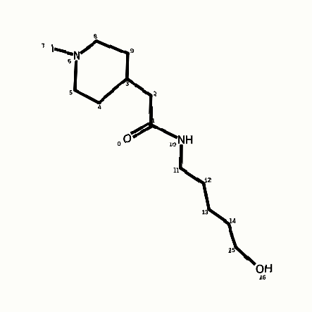 O=C(CC1CCN(I)CC1)NCCCCCO